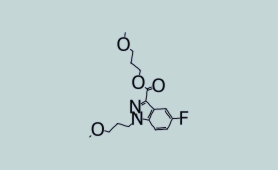 COCCCOC(=O)c1nn(CCCOC)c2ccc(F)cc12